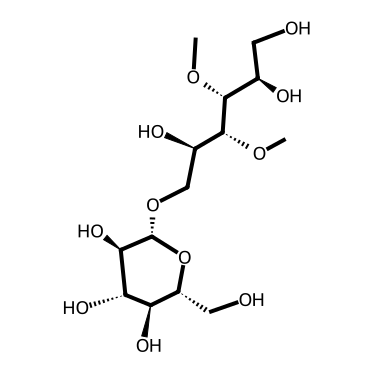 CO[C@@H]([C@H](OC)[C@H](O)CO[C@@H]1O[C@H](CO)[C@@H](O)[C@H](O)[C@H]1O)[C@H](O)CO